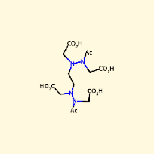 CC(=O)N(CC(=O)O)N(CCN(CC(=O)O)N(CC(=O)O)C(C)=O)CC(=O)O